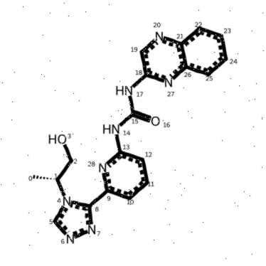 C[C@H](CO)n1cnnc1-c1cccc(NC(=O)Nc2cnc3ccccc3n2)n1